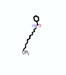 CCCCCCCCCCCCCNC(=O)C1CCCCC1